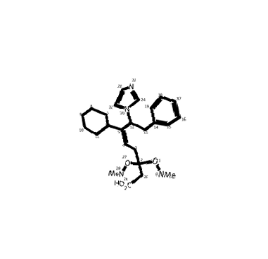 CNOC(CC=C(C1CCCCC1)C(Cc1ccccc1)n1ccnc1)(CC(=O)O)ONC